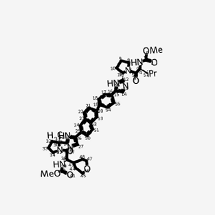 COC(=O)N[C@H](C(=O)N1CCC[C@H]1c1ncc(-c2ccc(-c3ccc4cc(-c5cnc([C@]6(C)CCCN6C(=O)[C@@H](NC(=O)OC)C6CCOCC6)[nH]5)ccc4c3)cc2)[nH]1)C(C)C